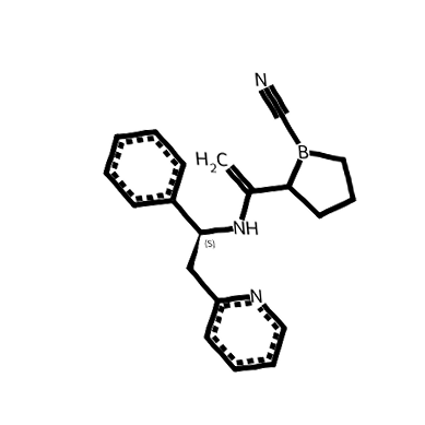 C=C(N[C@@H](Cc1ccccn1)c1ccccc1)C1CCCB1C#N